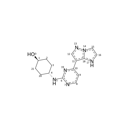 O[C@H]1CC[C@H](Nc2nccc(-c3cnn4cc[nH]c34)n2)CC1